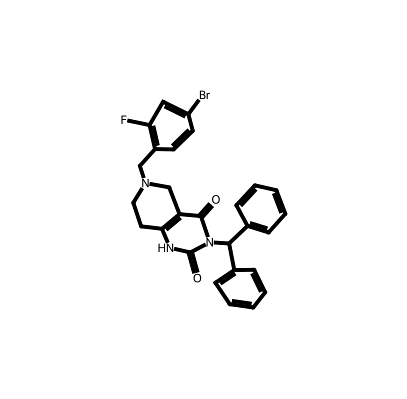 O=c1[nH]c2c(c(=O)n1C(c1ccccc1)c1ccccc1)CN(Cc1ccc(Br)cc1F)CC2